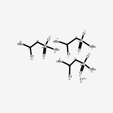 CCCCC(CC)CP(=O)([O-])CCCC.CCCCC(CC)CP(=O)([O-])CCCC.CCCCC(CC)CP(=O)([O-])CCCC.[Cr+3]